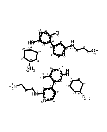 NCCCNc1cc(-c2cc(N[C@H]3CC[C@H](N)CC3)ncc2Cl)ccn1.N[C@H]1CC[C@H](Nc2cc(-c3ccnc(NCCCO)c3)c(Cl)cn2)CC1